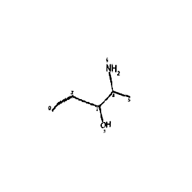 CC[C](O)C(C)N